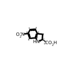 O=C(O)[C@@H]1Cc2ccc([N+](=O)[O-])cc2N1